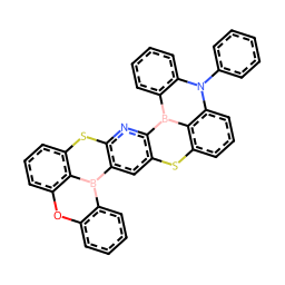 c1ccc(N2c3ccccc3B3c4nc5c(cc4Sc4cccc2c43)B2c3ccccc3Oc3cccc(c32)S5)cc1